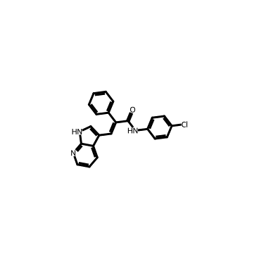 O=C(Nc1ccc(Cl)cc1)/C(=C/c1c[nH]c2ncccc12)c1ccccc1